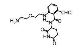 CN(C(=O)c1c(C=O)cccc1NCCOCCN)C1CCC(=O)NC1=O